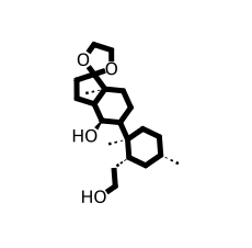 C[C@H]1CC[C@](C)(C2CC[C@@]3(C)C(CCC34OCCO4)[C@@H]2O)[C@@H](CCO)C1